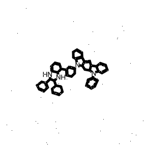 C1=CCCC(C2NC3=CC=CC(C4=CCCC(N5C6=C(C=CCC6)C6=CC7C8C=CC=CC8N(c8ccccc8)C7CC65)=C4)C3NC2C2CC=CCC2)=C1